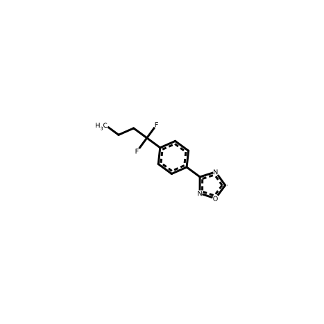 CCCC(F)(F)c1ccc(-c2n[c]on2)cc1